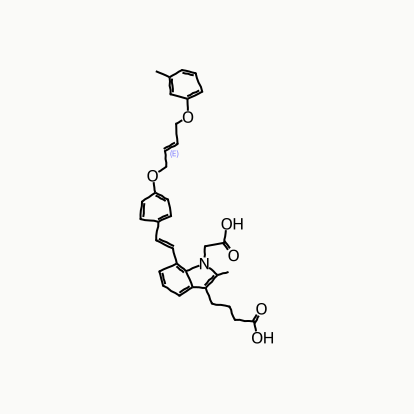 Cc1cccc(OC/C=C/COc2ccc(C=Cc3cccc4c(CCCC(=O)O)c(C)n(CC(=O)O)c34)cc2)c1